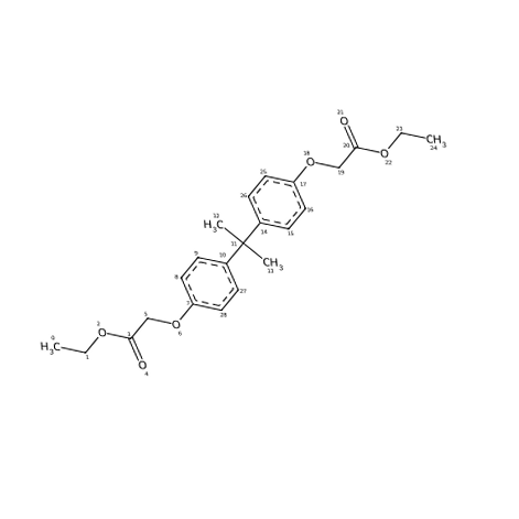 CCOC(=O)COc1ccc(C(C)(C)c2ccc(OCC(=O)OCC)cc2)cc1